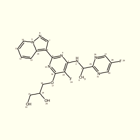 CC(Nc1nc(-c2cnn3ccccc23)nc(OCC(O)CO)c1F)c1ncc(F)cn1